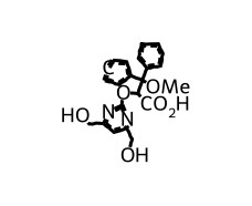 COC(c1ccccc1)(c1ccccc1)C(Oc1nc(CO)cc(CO)n1)C(=O)O